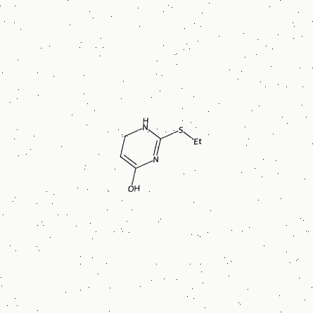 CCSC1=NC(O)=C[CH]N1